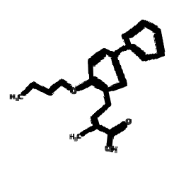 CCCCOc1ccc(-c2ccccc2)cc1CCC(C)C(=O)O